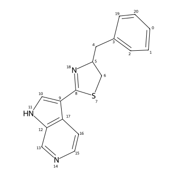 c1ccc(CC2CSC(c3c[nH]c4cnccc34)=N2)cc1